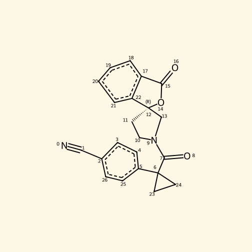 N#Cc1ccc(C2(C(=O)N3CC[C@@]4(C3)OC(=O)c3ccccc34)CC2)cc1